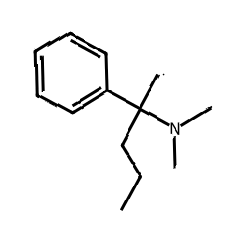 [CH2]C(CCC)(c1ccccc1)N(C)C